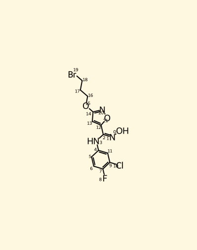 ON=C(Nc1ccc(F)c(Cl)c1)c1cc(OCCCBr)no1